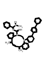 C=C1/C=C\C(=C)c2ccccc2N(C2=CCCC(c3ccc(-c4ccccc4)cc3)=C2)CCN(C(=N)/N=C(/c2ccccc2)N(C)CC)c2ccccc21